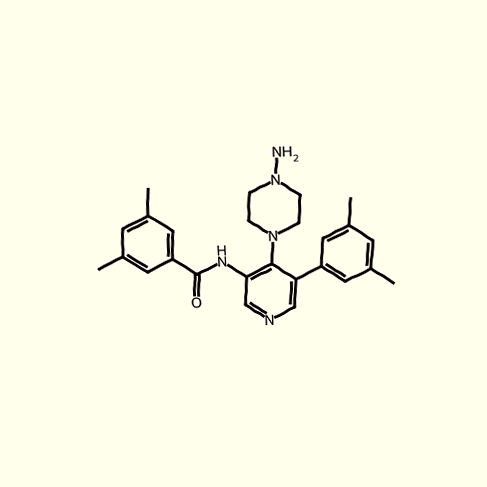 Cc1cc(C)cc(C(=O)Nc2cncc(-c3cc(C)cc(C)c3)c2N2CCN(N)CC2)c1